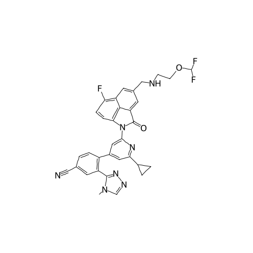 Cn1cnnc1-c1cc(C#N)ccc1-c1cc(C2CC2)nc(N2C(=O)c3cc(CNCCOC(F)F)cc4c(F)ccc2c34)c1